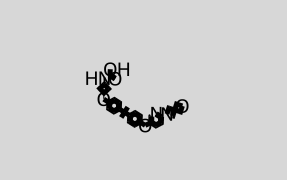 CC(C)(c1ccc(Oc2ccc(N3CC4(COC4)C3)nc2)cc1)c1ccc(O[C@H]2C[C@H](NC(=O)O)C2)cc1